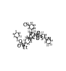 CCN(C(=O)OCc1ccccc1)C1CCN(C[C@@H]2C[C@@]2(CN(C)S(=O)(=O)c2ccc(-c3ccccn3)s2)c2cccc(Cl)c2)CC1